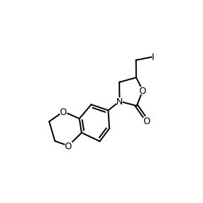 O=C1OC(CI)CN1c1ccc2c(c1)OCCO2